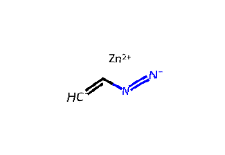 [CH-]=CN=[N-].[Zn+2]